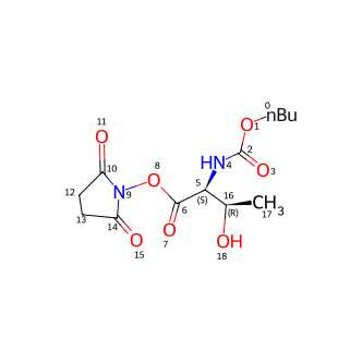 CCCCOC(=O)N[C@H](C(=O)ON1C(=O)CCC1=O)[C@@H](C)O